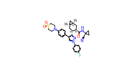 N#CC1(NC(=O)[C@@H]2C[C@@H]3C[C@@H]3C[C@H]2c2nn(-c3ccc(F)cc3)cc2-c2ccc(N3CCS(=O)(=O)CC3)cc2)CC1